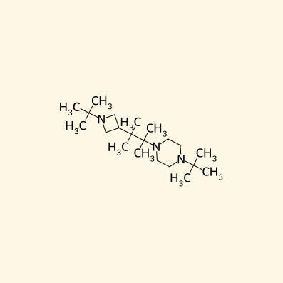 CC(C)(C)N1CCN(C(C)(C)C(C)(C)C2CN(C(C)(C)C)C2)CC1